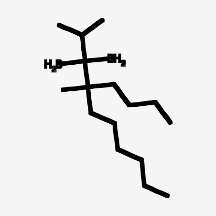 BC(B)(C(C)C)C(C)(CCCC)CCCCCC